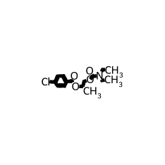 CCN(CC)C(=O)OCC(C)OC(=O)c1ccc(Cl)cc1